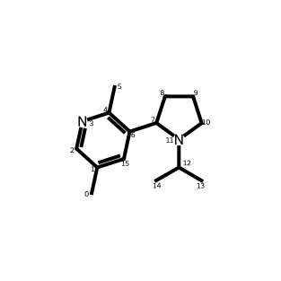 Cc1cnc(C)c(C2CCCN2C(C)C)c1